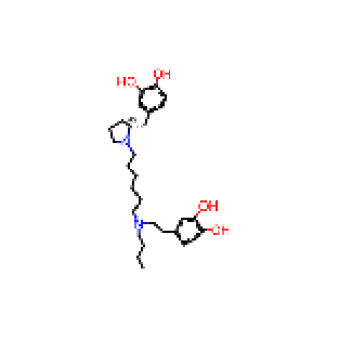 CCCCN(CCCCCCN1CCC[C@@H]1Cc1ccc(O)c(O)c1)CCc1ccc(O)c(O)c1